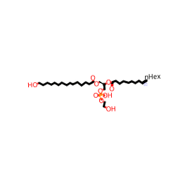 CCCCCC/C=C\CCCCCCCC(=O)O[C@H](COC(=O)CCCCCCCCCCCCCCO)COP(=O)(O)OCCO